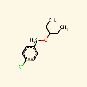 CCC(CC)O[SiH2]c1ccc(Cl)cc1